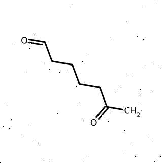 [CH2]C(=O)CCCCC=O